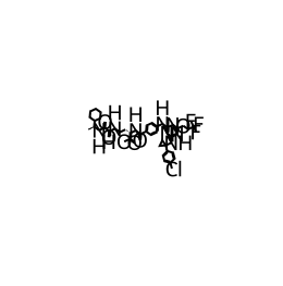 C[C@H](NC(=O)C(=O)NCC[C@H](NC(=O)c1ccc(Nc2nc(NC3(c4ccc(Cl)cc4)CC3)nc(OCC(F)(F)F)n2)cc1)C(=O)O)C1CCCCC1